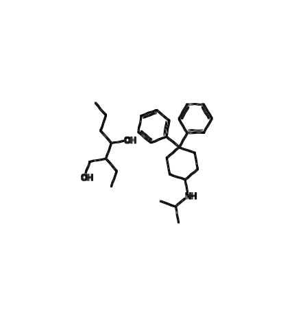 CC(C)NC1CCC(c2ccccc2)(c2ccccc2)CC1.CCCC(O)C(CC)CO